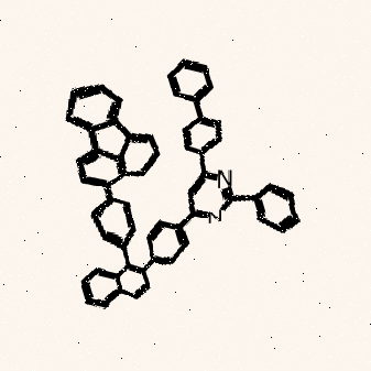 c1ccc(-c2ccc(-c3cc(-c4ccc(-c5ccc6ccccc6c5-c5ccc(-c6ccc7c8c(cccc68)-c6ccccc6-7)cc5)cc4)nc(-c4ccccc4)n3)cc2)cc1